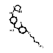 CCCCCOc1ccc(Cc2ccc(NC3=NCCN3)cc2)c(F)c1.Cl